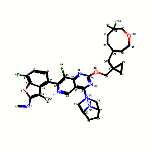 C=Nc1sc2c(F)ccc(-c3ncc4c(N5CC6CCC(C5)N6)nc(OCC5(CC6CCOCC(C)(F)CC6)CC5)nc4c3F)c2c1C#N